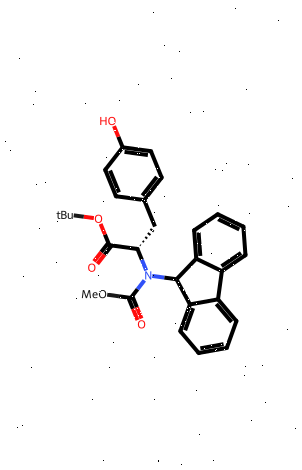 COC(=O)N(C1c2ccccc2-c2ccccc21)[C@@H](Cc1ccc(O)cc1)C(=O)OC(C)(C)C